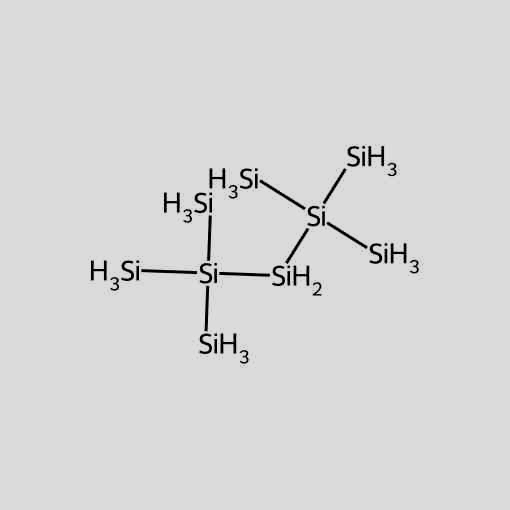 [SiH3][Si]([SiH3])([SiH3])[SiH2][Si]([SiH3])([SiH3])[SiH3]